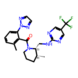 Cc1cccc(-n2nccn2)c1C(=O)N1CCC[C@@H](C)[C@H]1CNc1ncc(C(F)(F)F)cn1